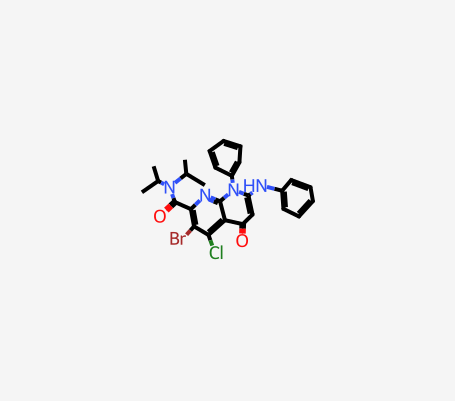 CC(C)N(C(=O)c1nc2c(c(Cl)c1Br)c(=O)cc(Nc1ccccc1)n2-c1ccccc1)C(C)C